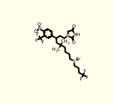 CC(C)(CCCC[S+]([O-])CCCC(F)(F)F)CC(CCN1CC(=O)NC1=O)c1ccc([N+](=O)[O-])c(C(F)(F)F)c1